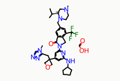 CC(C)[C@H]1CN(C)CCN1Cc1cc2c(c(C(F)(F)F)c1)CN(c1cc(C3(Cc4nncn4C)COC3)cc(NC3CCCC3)n1)C2=O.O=CO